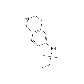 CCC(C)(C)Nc1ccc2c(c1)CCNC2